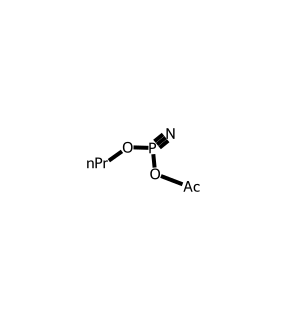 CCCOP(#N)OC(C)=O